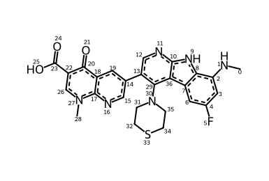 CNc1cc(F)cc2c1[nH]c1ncc(-c3cnc4c(c3)c(=O)c(C(=O)O)cn4C)c(N3CCSCC3)c12